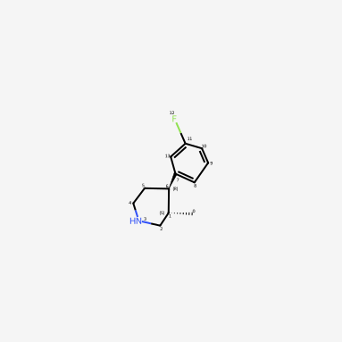 C[C@@H]1CNCC[C@H]1c1cccc(F)c1